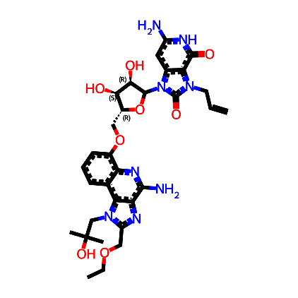 C=CCn1c(=O)n(C2O[C@H](COc3cccc4c3nc(N)c3nc(COCC)n(CC(C)(C)O)c34)[C@@H](O)[C@H]2O)c2cc(N)[nH]c(=O)c21